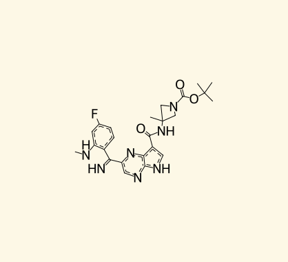 CNc1cc(F)ccc1C(=N)c1cnc2[nH]cc(C(=O)NC3(C)CN(C(=O)OC(C)(C)C)C3)c2n1